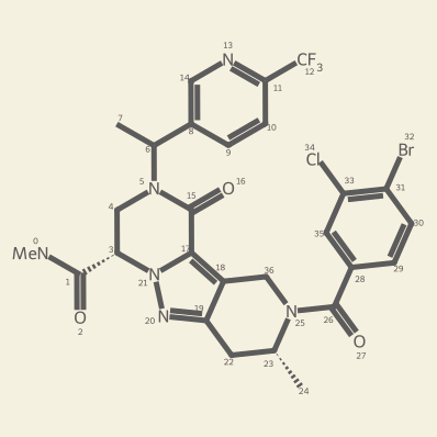 CNC(=O)[C@@H]1CN(C(C)c2ccc(C(F)(F)F)nc2)C(=O)c2c3c(nn21)C[C@@H](C)N(C(=O)c1ccc(Br)c(Cl)c1)C3